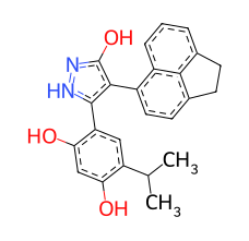 CC(C)c1cc(-c2[nH]nc(O)c2-c2ccc3c4c(cccc24)CC3)c(O)cc1O